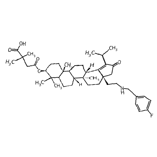 CC(C)C1=C2[C@H]3CCC4[C@@H](CCC5C(C)(C)[C@@H](OC(=O)CC(C)(C)C(=O)O)CC[C@]45C)[C@]3(C)CC[C@@]2(CCNCc2ccc(F)cc2)CC1=O